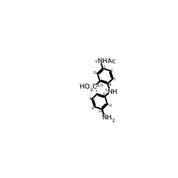 CC(=O)Nc1ccc(Nc2cccc(N)c2)c(C(=O)O)c1